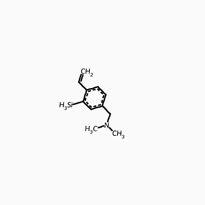 C=Cc1ccc(CN(C)C)cc1[SiH3]